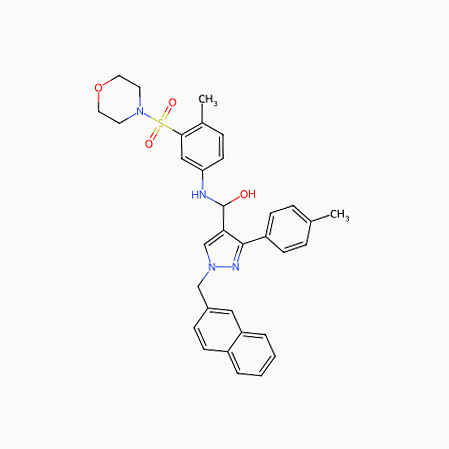 Cc1ccc(-c2nn(Cc3ccc4ccccc4c3)cc2C(O)Nc2ccc(C)c(S(=O)(=O)N3CCOCC3)c2)cc1